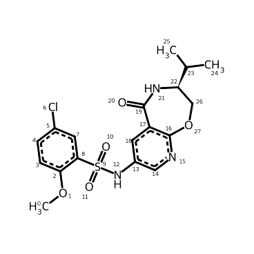 COc1ccc(Cl)cc1S(=O)(=O)Nc1cnc2c(c1)C(=O)N[C@@H](C(C)C)CO2